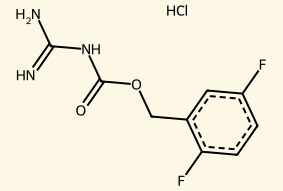 Cl.N=C(N)NC(=O)OCc1cc(F)ccc1F